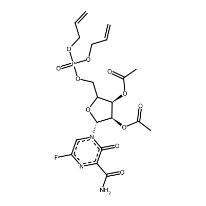 C=CCOP(=O)(OCC=C)OCC1O[C@@H](n2cc(F)nc(C(N)=O)c2=O)[C@H](OC(C)=O)[C@@H]1OC(C)=O